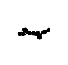 C1=CC2c3cc(-c4ccc(C5=CC6C7C=CC=CC7N(c7ccc8ccccc8c7)C6C=C5)cc4)ccc3N(c3ccc(-c4ccccc4)cc3)C2C=C1